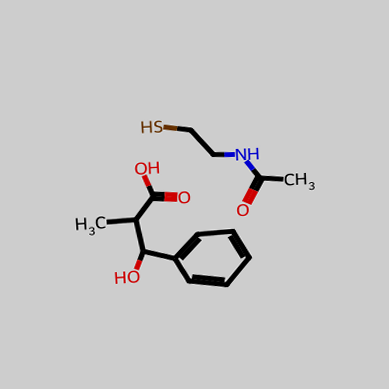 CC(=O)NCCS.CC(C(=O)O)C(O)c1ccccc1